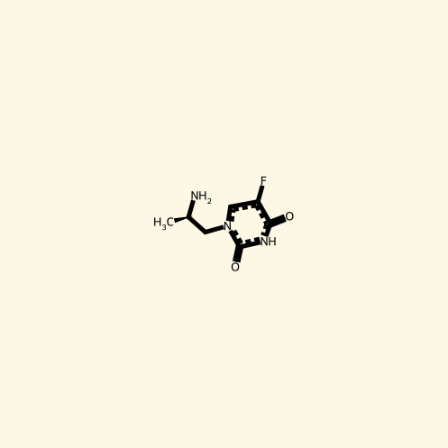 C[C@@H](N)Cn1cc(F)c(=O)[nH]c1=O